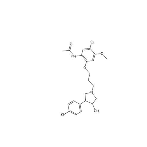 COc1cc(OCCCN2CC(O)C(c3ccc(Cl)cc3)C2)c(NC(C)=O)cc1Cl